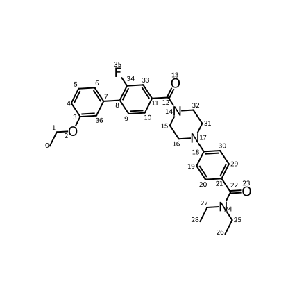 CCOc1cccc(-c2ccc(C(=O)N3CCN(c4ccc(C(=O)N(CC)CC)cc4)CC3)cc2F)c1